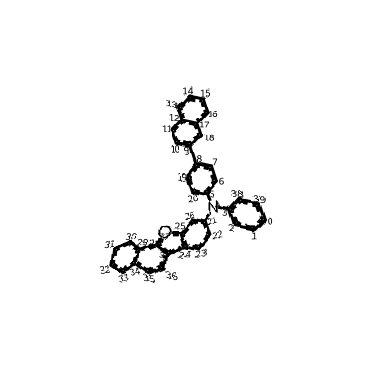 c1ccc(N(c2ccc(-c3ccc4ccccc4c3)cc2)c2ccc3c(c2)oc2c4ccccc4ccc32)cc1